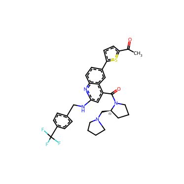 CC(=O)c1ccc(-c2ccc3nc(NCc4ccc(C(F)(F)F)cc4)cc(C(=O)N4CCC[C@H]4CN4CCCC4)c3c2)s1